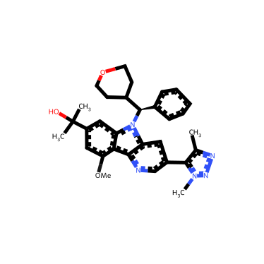 COc1cc(C(C)(C)O)cc2c1c1ncc(-c3c(C)nnn3C)cc1n2[C@H](c1ccccc1)C1CCOCC1